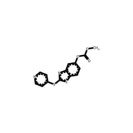 COC(=O)Oc1ccc2sc(Sc3ccncc3)nc2c1